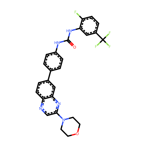 O=C(Nc1ccc(-c2ccc3ncc(N4CCOCC4)nc3c2)cc1)Nc1cc(C(F)(F)F)ccc1F